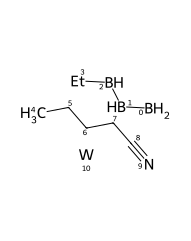 BBBCC.CCCCC#N.[W]